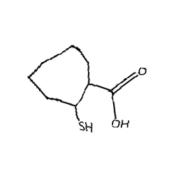 O=C(O)C1CCCCCC1S